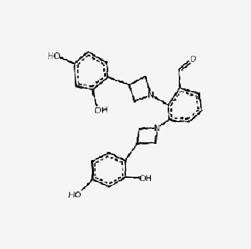 O=Cc1cccc(N2CC(c3ccc(O)cc3O)C2)c1N1CC(c2ccc(O)cc2O)C1